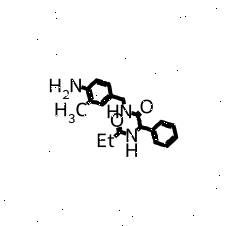 CCC(=O)NC(C(=O)NCc1ccc(N)c(C)c1)c1ccccc1